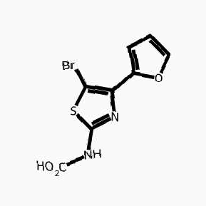 O=C(O)Nc1nc(-c2ccco2)c(Br)s1